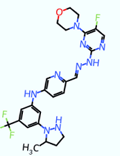 CC1CCNN1c1cc(Nc2ccc(/C=N/Nc3ncc(F)c(N4CCOCC4)n3)nc2)cc(C(F)(F)F)c1